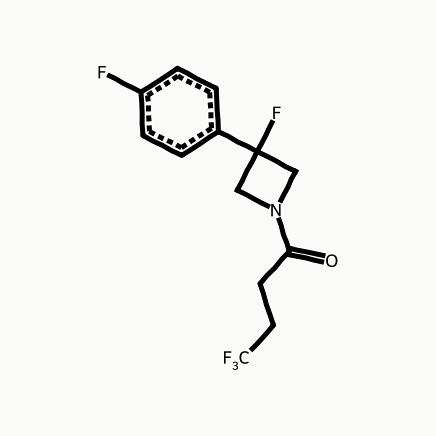 O=C(CCC(F)(F)F)N1CC(F)(c2ccc(F)cc2)C1